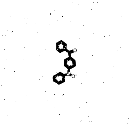 O=C(c1ccccc1)c1ccc([S+]([O-])c2ccccc2)cc1